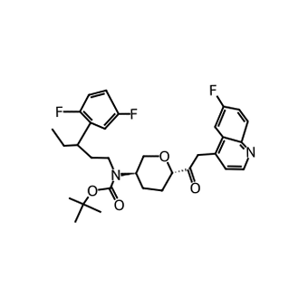 CCC(CCN(C(=O)OC(C)(C)C)[C@@H]1CC[C@@H](C(=O)Cc2ccnc3ccc(F)cc23)OC1)c1cc(F)ccc1F